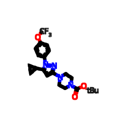 CC(C)(C)OC(=O)N1CCN(c2cc(C3CC3)n(-c3ccc(OC(F)(F)F)cc3)n2)CC1